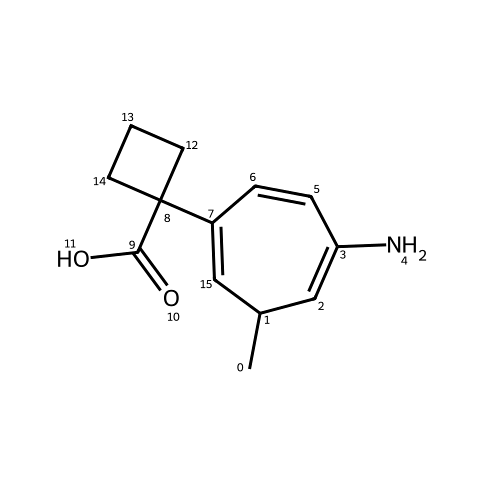 CC1C=C(N)C=CC(C2(C(=O)O)CCC2)=C1